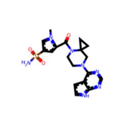 Cn1cc(S(N)(=O)=O)cc1C(=O)N1CCN(c2ncnc3[nH]ccc23)CC12CC2